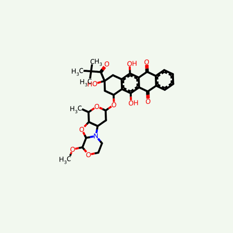 COC1OCCN2C3CC(OC4CC(O)(C(=O)C(C)(C)C)Cc5c(O)c6c(c(O)c54)C(=O)c4ccccc4C6=O)OC(C)C3OC12